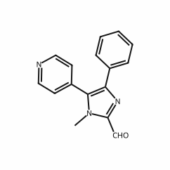 Cn1c(C=O)nc(-c2ccccc2)c1-c1ccncc1